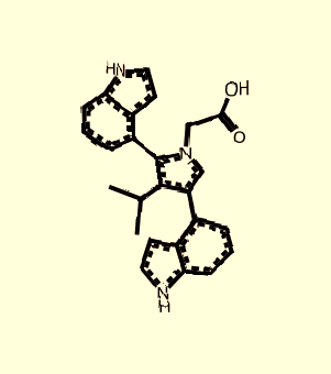 CC(C)c1c(-c2cccc3[nH]ccc23)cn(CC(=O)O)c1-c1cccc2[nH]ccc12